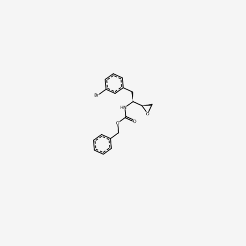 O=C(N[C@@H](Cc1cccc(Br)c1)[C@H]1CO1)OCc1ccccc1